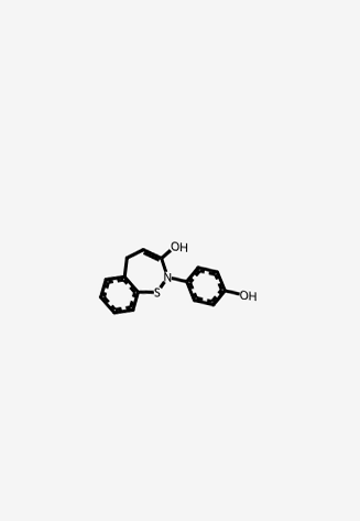 OC1=CCc2ccccc2SN1c1ccc(O)cc1